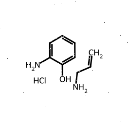 C=CCN.Cl.Nc1ccccc1O